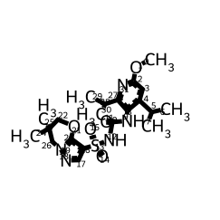 COc1cc(C(C)C)c(NC(=O)NS(=O)(=O)c2cnn3c2OCC(C)(C)C3)c(C(C)C)n1